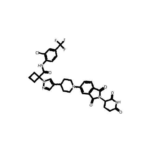 O=C1CCC(N2C(=O)c3ccc(N4CCC(c5cnn(C6(C(=O)Nc7ccc(C(F)(F)F)cc7Cl)CCC6)c5)CC4)cc3C2=O)C(=O)N1